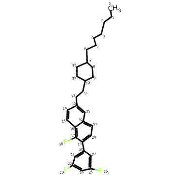 CCCCCCCC1CCC(CCc2ccc3c(F)c(-c4cc(F)cc(F)c4)ccc3c2)CC1